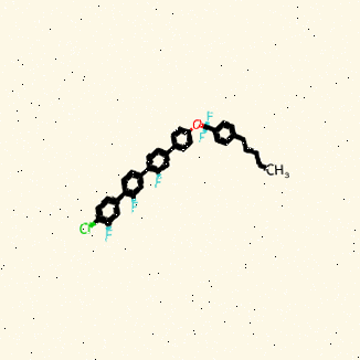 CCCCCc1ccc(C(F)(F)Oc2ccc(-c3ccc(-c4ccc(-c5ccc(Cl)c(F)c5)c(F)c4)c(F)c3)cc2)cc1